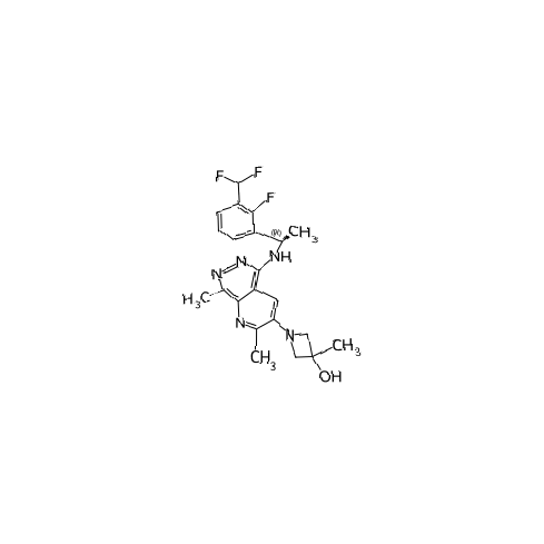 Cc1nc2c(C)nnc(N[C@H](C)c3cccc(C(F)F)c3F)c2cc1N1CC(C)(O)C1